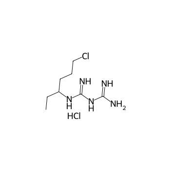 CCC(CCCCl)NC(=N)NC(=N)N.Cl